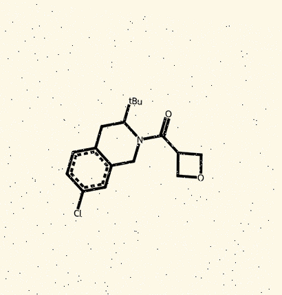 CC(C)(C)C1Cc2ccc(Cl)cc2CN1C(=O)C1COC1